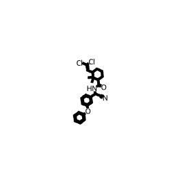 CC1(C)C(C=C(Cl)Cl)CCCC1C(=O)NC(C#N)c1cccc(Oc2ccccc2)c1